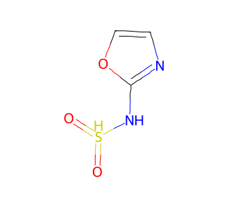 O=[SH](=O)Nc1ncco1